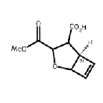 COC(=O)C1OC2C=C[C@@H]2C1C(=O)O